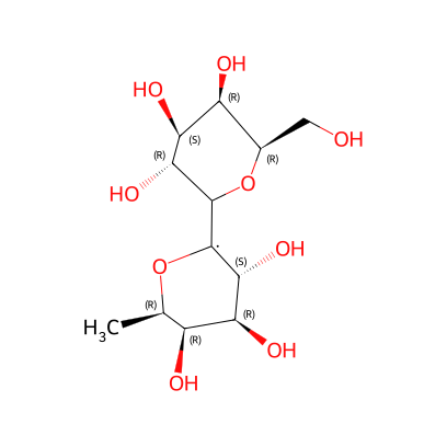 C[C@H]1O[C](C2O[C@H](CO)[C@H](O)[C@H](O)[C@H]2O)[C@H](O)[C@@H](O)[C@H]1O